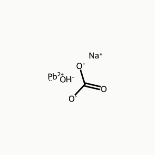 O=C([O-])[O-].[Na+].[OH-].[Pb+2]